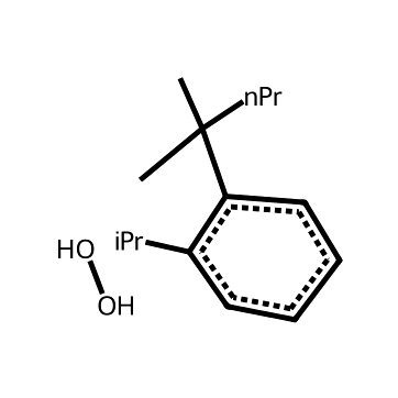 CCCC(C)(C)c1ccccc1C(C)C.OO